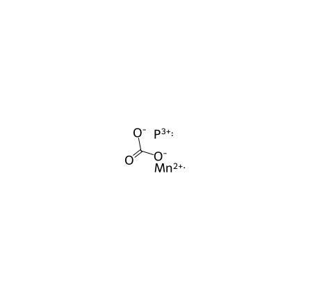 O=C([O-])[O-].[Mn+2].[P+3]